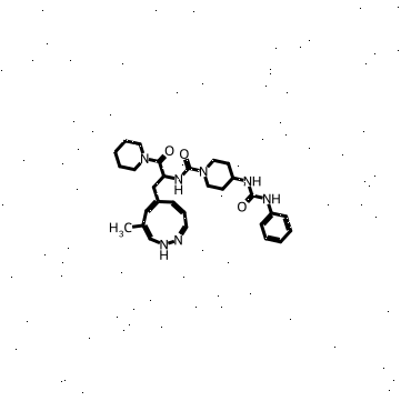 Cc1c[nH]ncccc(CC(NC(=O)N2CCC(NC(=O)Nc3ccccc3)CC2)C(=O)N2CCCCC2)c1